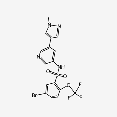 Cn1cc(-c2cncc(NS(=O)(=O)c3cc(Br)ccc3OC(F)(F)F)c2)cn1